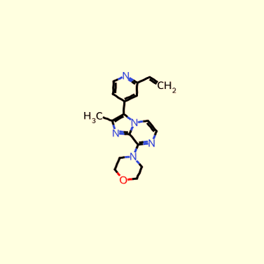 C=Cc1cc(-c2c(C)nc3c(N4CCOCC4)nccn23)ccn1